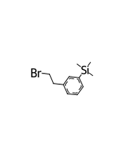 C[Si](C)(C)c1cccc(CCBr)c1